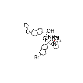 NC1CC2CCC(C1)N2C(=O)[C@H](NC(=O)[C@@H](O)c1ccc2cc(OC3CCCC3)ccc2c1)C(F)(F)c1ccc2cc(Br)ccc2c1